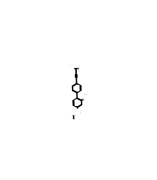 CCOc1ccc(-c2ccc(C#CC(F)(F)F)cc2)c(F)c1